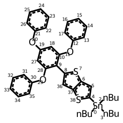 CCC[CH2][Sn]([CH2]CCC)([CH2]CCC)[c]1cc2sc(-c3c(Oc4ccccc4)cc(Oc4ccccc4)cc3Oc3ccccc3)cc2s1